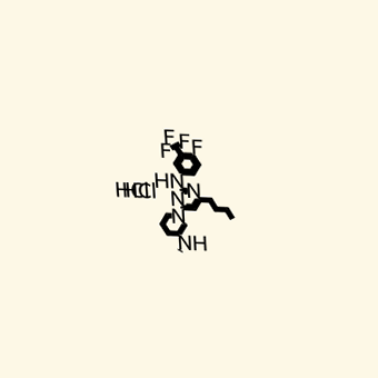 CCCCc1cc(N2CCCC(NC)C2)nc(Nc2ccc(F)c(C(F)(F)F)c2)n1.Cl.Cl